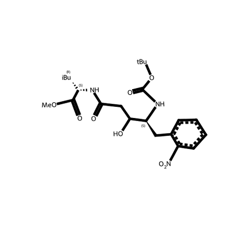 CC[C@@H](C)[C@H](NC(=O)CC(O)[C@H](Cc1ccccc1[N+](=O)[O-])NC(=O)OC(C)(C)C)C(=O)OC